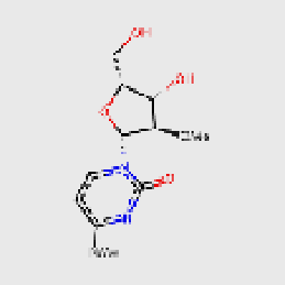 CNc1ccn([C@@H]2O[C@H](CO)[C@H](O)[C@H]2OC)c(=O)n1